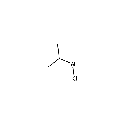 C[CH](C)[Al][Cl]